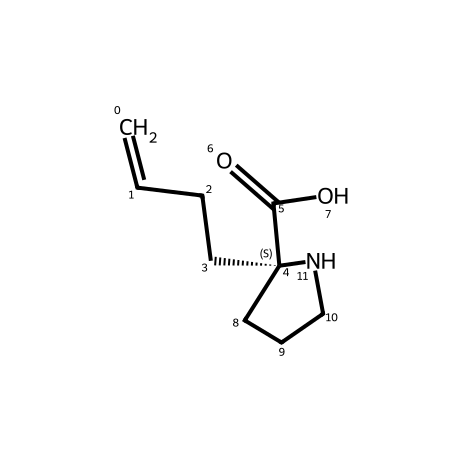 C=CCC[C@@]1(C(=O)O)CCCN1